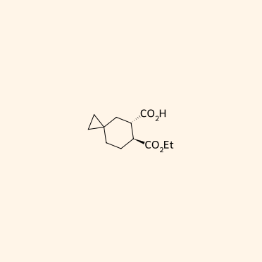 CCOC(=O)[C@H]1CCC2(CC2)C[C@@H]1C(=O)O